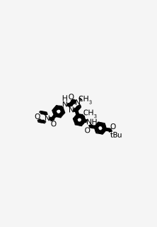 Cc1c(NC(=O)c2ccc(C(=O)C(C)(C)C)cc2)cccc1-c1cn(C)c(=O)c(Nc2ccc(C(=O)N3CCOCC3)cc2)n1